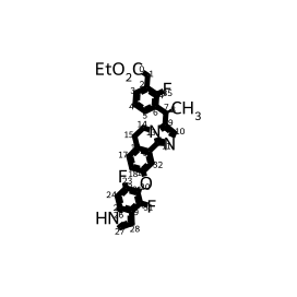 CCOC(=O)Cc1cccc([C@@H](C)c2cnc3n2CCc2ccc(Oc4c(F)cc5[nH]ccc5c4F)cc2-3)c1F